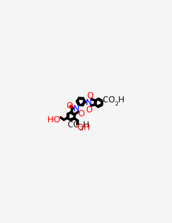 O=C(O)c1ccc2c(c1)C(=O)N(c1cccc(N3C(=O)c4cc(CCO)c(C(=O)O)c(CCO)c4C3=O)c1)C2=O